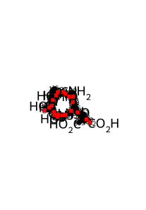 Cc1sc2nc1C(=O)N[C@@H]([C@H](O)c1ccccc1)c1nc(cs1)C(=O)N[C@@H](Cc1ccc(O)cc1)C(=O)N1C[C@H](O)[C@H](C)[C@H]1c1nc(cs1)-c1nc(cs1)-c1nc(-c3nc(C(=O)N4C[C@H](CCC(=O)O)C[C@H](CCC(=O)O)C4)cs3)ccc1-c1nc(cs1)C(=O)N[C@H]2CC(N)=O